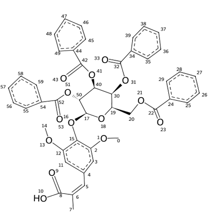 COc1cc(C=C(C)C(=O)O)cc(OC)c1O[C@@H]1O[C@H](COC(=O)c2ccccc2)[C@H](OC(=O)c2ccccc2)[C@H](OC(=O)c2ccccc2)[C@H]1OC(=O)c1ccccc1